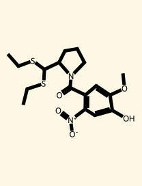 CCSC(SCC)C1CCCN1C(=O)c1cc(OC)c(O)cc1[N+](=O)[O-]